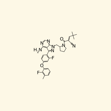 Cc1cccc(Oc2ccc(-c3nn(CC4CCCN4C(=O)C(C#N)=CC(C)(C)C)c4ncnc(N)c34)c(F)c2)c1F